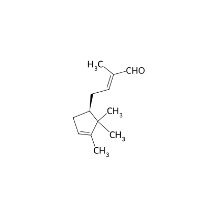 CC(C=O)=CC[C@@H]1CC=C(C)C1(C)C